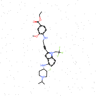 CCOC(=O)c1ccc(NCC#Cc2cc3c(N[C@H]4CCN(C(C)C)C[C@H]4F)cccc3n2CC(F)(F)F)c(OC)c1